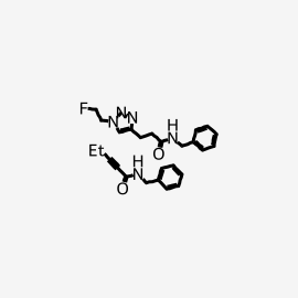 CCC#CC(=O)NCc1ccccc1.O=C(CCc1cn(CCF)nn1)NCc1ccccc1